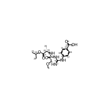 COCP(=O)(NC(=N)Nc1ccc(C(=O)O)cc1)N[C@@H](C)C(=O)OC(C)C